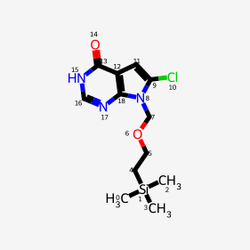 C[Si](C)(C)CCOCn1c(Cl)cc2c(=O)[nH]cnc21